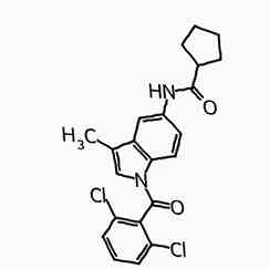 Cc1cn(C(=O)c2c(Cl)cccc2Cl)c2ccc(NC(=O)C3CCCC3)cc12